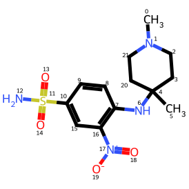 CN1CCC(C)(Nc2ccc(S(N)(=O)=O)cc2[N+](=O)[O-])CC1